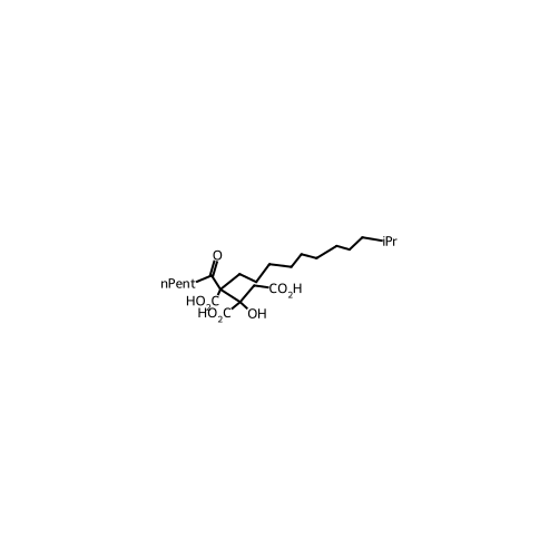 CCCCCC(=O)C(CCCCCCCCCC(C)C)(C(=O)O)C(O)(CC(=O)O)C(=O)O